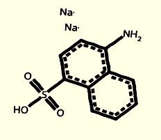 Nc1ccc(S(=O)(=O)O)c2ccccc12.[Na].[Na]